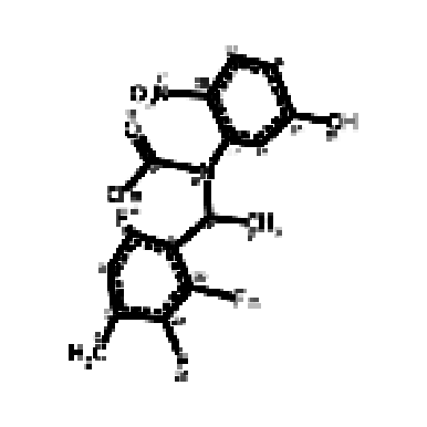 Cc1cc(F)c(C(C)N(C(=O)Cl)c2cc(O)ccc2[N+](=O)[O-])c(F)c1F